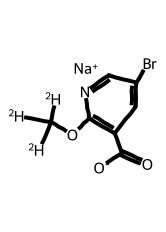 [2H]C([2H])([2H])Oc1ncc(Br)cc1C(=O)[O-].[Na+]